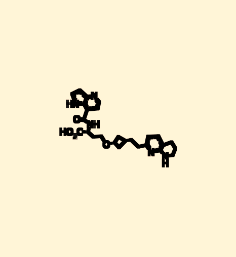 O=C(N[C@@H](CCO[C@H]1C[C@H](CCc2ccc3c(n2)NCCC3)C1)C(=O)O)c1ccnc2cc[nH]c12